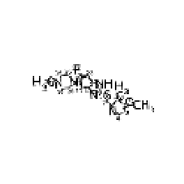 COc1ccnc(CSc2nc3cc(N4CCN(C)CC4)c(F)cc3[nH]2)c1C